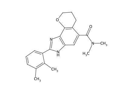 Cc1cccc(-c2nc3c4c(c(C(=O)N(C)C)cc3[nH]2)CCCO4)c1C